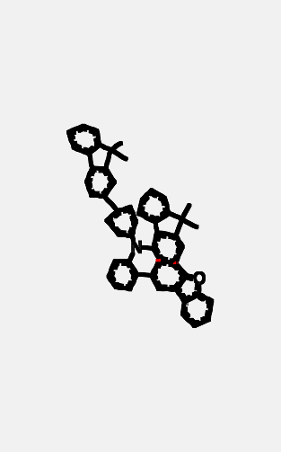 CC1(C)c2ccccc2-c2ccc(-c3ccc(N(c4ccccc4-c4ccc5oc6ccccc6c5c4)c4cccc5c4-c4ccccc4C5(C)C)cc3)cc21